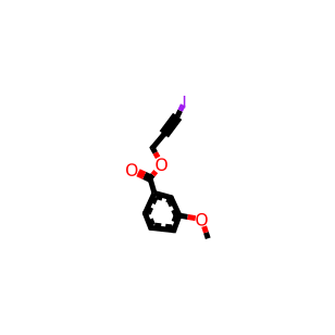 COc1cccc(C(=O)OCC#CI)c1